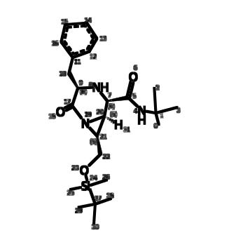 CC(C)(C)NC(=O)[C@@H]1N[C@H](Cc2ccccc2)C(=O)N2[C@@H]1[C@H]2CO[Si](C)(C)C(C)(C)C